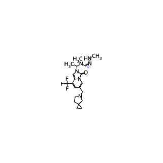 CN/N=C\N(C)C(C)n1cc2c(C(F)(F)F)cc(CN3CCC4(CC4)C3)cn2c1=O